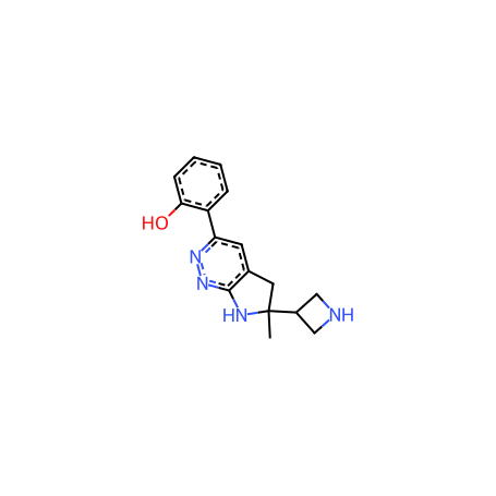 CC1(C2CNC2)Cc2cc(-c3ccccc3O)nnc2N1